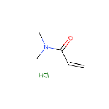 C=CC(=O)N(C)C.Cl